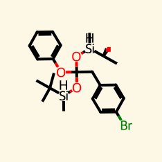 C[SiH](OC(Cc1ccc(Br)cc1)(Oc1ccccc1)O[SiH](C)C(C)(C)C)C(C)(C)C